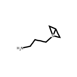 NCCC[Si]12CC1C2